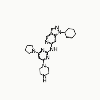 C1=CC(n2ncc3cnc(Nc4nc(N5CCCC5)cc(N5CCNCC5)n4)cc32)CCC1